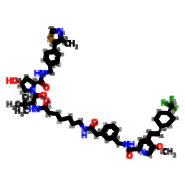 COc1cnc(C(=O)NCc2cccc(CC(=O)NCCCCCCC(=O)N[C@H](C(=O)N3C[C@H](O)C[C@H]3C(=O)NCc3ccc(-c4scnc4C)cc3)C(C)(C)C)c2)cc1/C=C/[C@H]1CC[C@H](C(F)(F)F)CC1